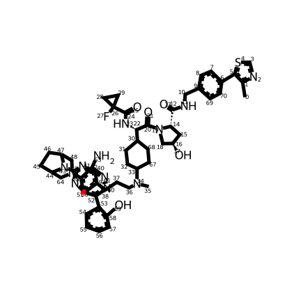 Cc1ncsc1-c1ccc(CNC(=O)[C@@H]2C[C@@H](O)CN2C(=O)[C@@H](NC(=O)C2(F)CC2)C2CCC(N(C)CCCc3cnc(N4C5CCC4CN(c4cc(-c6ccccc6O)nnc4N)C5)nc3)CC2)cc1